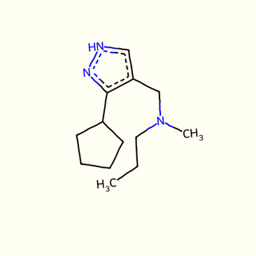 CCCN(C)Cc1c[nH]nc1C1CCCC1